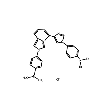 CCN(CC)c1ccc(-n2cc(-c3cccc4cn(-c5ccc(N(C)C)cc5)c[n+]34)nn2)cc1.[Cl-]